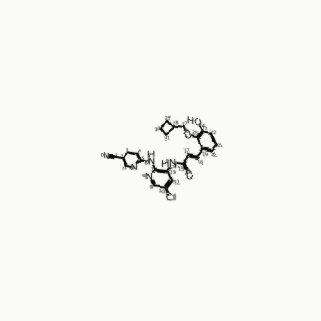 N#Cc1ccc(Nc2ncc(Cl)cc2NC(=O)/C=C/c2cccc(O)c2OCC2CCC2)nc1